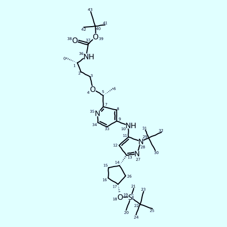 C[C@@H](CCO[C@H](C)c1cc(Nc2cc([C@H]3CC[C@@H](O[Si](C)(C)C(C)(C)C)C3)nn2C(C)(C)C)ccn1)NC(=O)OC(C)(C)C